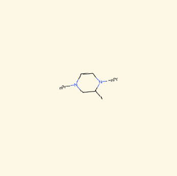 CCCN1CCN(CCC)C(C)C1